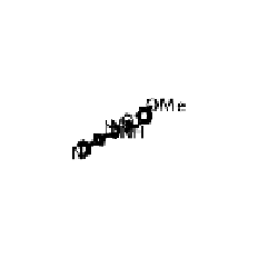 COc1ccc(CC(=O)Nc2cc(C3CC(c4ccncc4)C3)n[nH]2)cc1